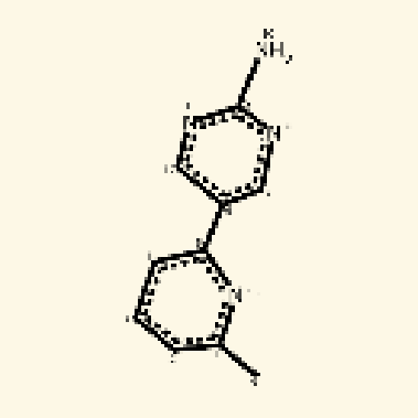 Cc1cccc(-c2cnc(N)nc2)n1